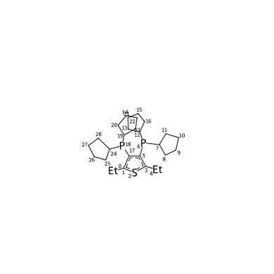 CCc1sc(CC)c(P(C2CCCC2)C2CCCC2)c1P(C1CCCC1)C1CCCC1